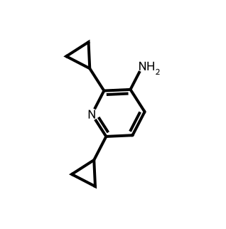 Nc1ccc(C2CC2)nc1C1CC1